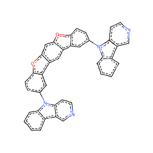 c1ccc2c(c1)c1cnccc1n2-c1ccc2oc3cc4oc5ccc(-n6c7ccccc7c7cnccc76)cc5c4cc3c2c1